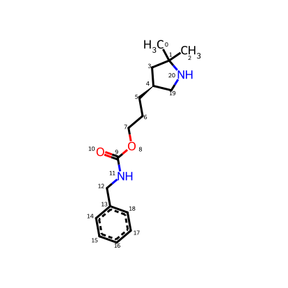 CC1(C)C[C@H](CCCOC(=O)NCc2ccccc2)CN1